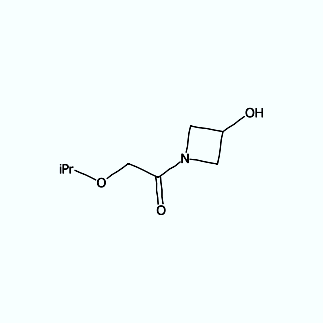 CC(C)OCC(=O)N1CC(O)C1